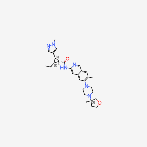 CC[C@@H]1[C@@H](C(=O)Nc2cc3cc(N4CCN([C@@]5(C)CCOC5)CC4)c(C)cc3cn2)[C@@H]1c1cnn(C)c1